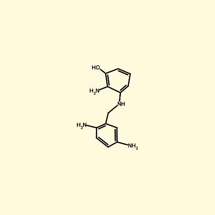 Nc1ccc(N)c(CNc2cccc(O)c2N)c1